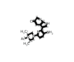 CC(=O)N1[C@H](C)CN(c2ccc(N)c(-c3c[nH]c4ncc(Cl)cc34)n2)C[C@@H]1C